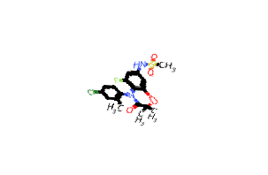 Cc1cc(Cl)ccc1N1C(=O)C(C)(C)Oc2cc(NS(C)(=O)=O)cc(F)c21